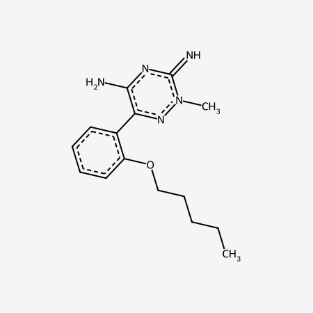 CCCCCOc1ccccc1-c1nn(C)c(=N)nc1N